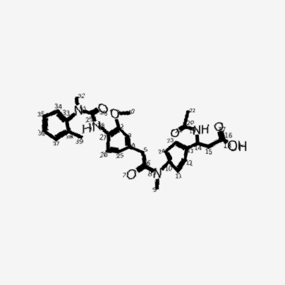 COc1cc(CC(=O)N(C)c2ccc(C(CC(=O)O)NC(C)=O)cc2)ccc1NC(=O)N(C)c1ccccc1C